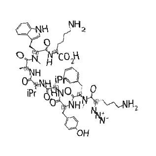 CC(C)[C@H](NC(=O)[C@H](Cc1ccc(O)cc1)NC(=O)[C@H](Cc1ccccc1)N(C)C(=O)[C@H](CCCCN)N=[N+]=[N-])C(=O)N[C@H](C(=O)N[C@@H](C)C(=O)N(C)[C@@H](Cc1c[nH]c2ccccc12)C(=O)N[C@@H](CCCCN)C(=O)O)C(C)C